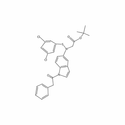 CC(C)(C)OC(=O)CN(Sc1cc(Cl)cc(Cl)c1)c1ccc2c(ccn2C(=O)Cc2ccccc2)c1